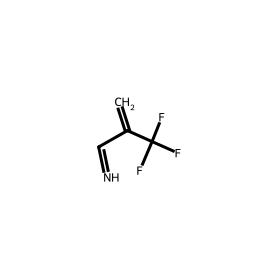 C=C(C=N)C(F)(F)F